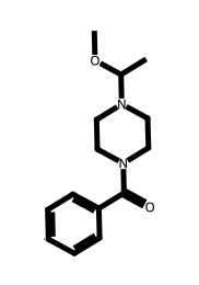 COC(C)N1CCN(C(=O)c2cc[c]cc2)CC1